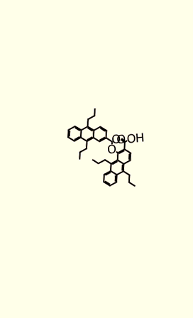 CCCc1c2ccccc2c(CCC)c2cc(C(=O)Oc3c(C(=O)O)ccc4c(CCC)c5ccccc5c(CCC)c34)ccc12